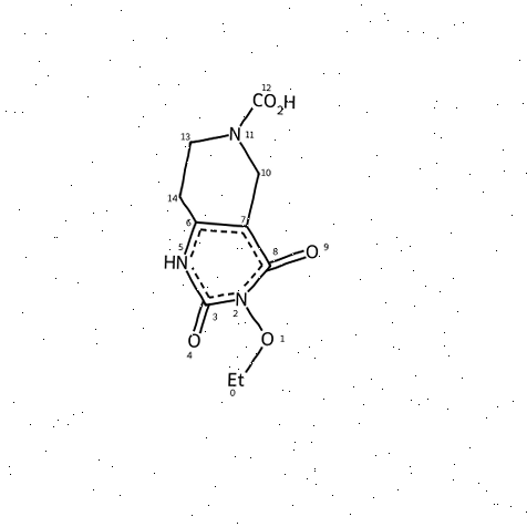 CCOn1c(=O)[nH]c2c(c1=O)CN(C(=O)O)CC2